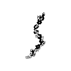 Cc1cc(-c2ncnc3[nH]c(-c4ccc(N5CCN(CC6CCN(c7ccc(N8CCC(=O)NC8=O)c(C)c7)CC6)CC5)nc4)cc23)c(F)cc1CNC(=O)c1noc(C(C)(C)C)n1